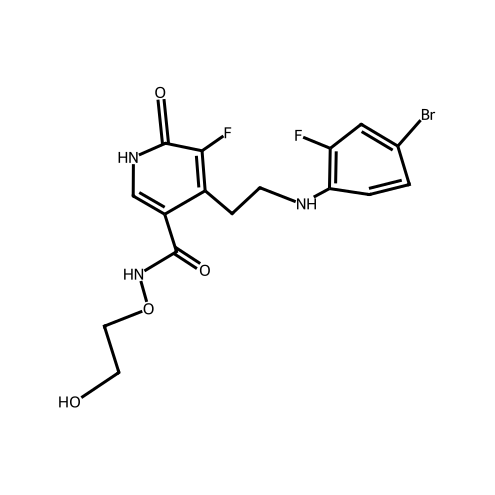 O=C(NOCCO)c1c[nH]c(=O)c(F)c1CCNc1ccc(Br)cc1F